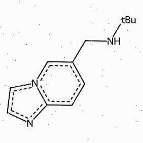 CC(C)(C)NCc1ccc2nccn2c1